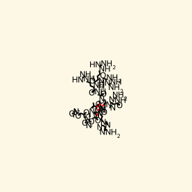 Cc1cn(C2CN(P(=O)(OCC3CN(P(=O)(OCC4CN(C(=O)CNC(=O)C(CCCNC(=N)N)NC(=O)C(CCCNC(=N)N)NC(=O)C(N)NC(=N)N)CC(n5cnc6c(=O)[nH]c(N)nc65)O4)N(C)C)CC(n4cnc5c(N)ncnc54)O3)N(C)C)CC(COP(C)(=O)N(C)C)O2)c(=O)[nH]c1=O